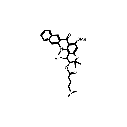 COc1cc2c(c3c1c(=O)c1cc4ccccc4cc1n3C)[C@H](OC(C)=O)[C@H](OC(=O)CCCN(C)C)C(C)(C)O2